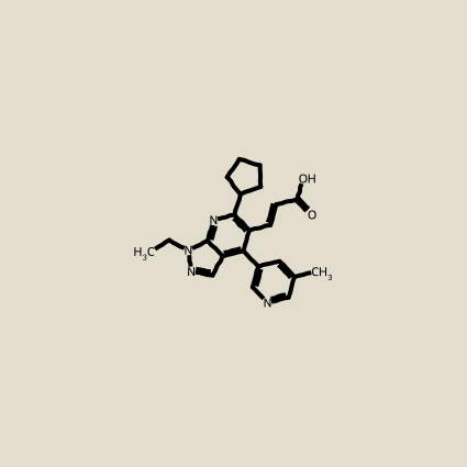 CCn1ncc2c(-c3cncc(C)c3)c(C=CC(=O)O)c(C3CCCC3)nc21